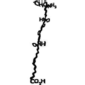 N[C@H]([C]=O)CCCCNC(=O)COCCOCCNC(=O)CCCCCCCCCCCCCCC(=O)O